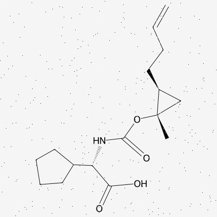 C=CCC[C@H]1C[C@]1(C)OC(=O)N[C@H](C(=O)O)C1CCCC1